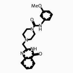 COc1cccc(NC(=O)N2CCN(Cc3nc4ccccc4c(=O)[nH]3)CC2)c1